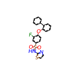 O=S(=O)(Nc1nccs1)c1ccc(Oc2ccccc2-c2ccccc2)c(F)c1